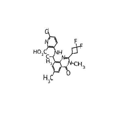 Cc1cc([C@@H](C)Nc2ccc(Cl)nc2C(=O)O)c2nc(C3CC(F)(F)C3)n(C)c(=O)c2c1